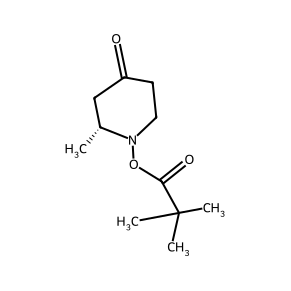 C[C@@H]1CC(=O)CCN1OC(=O)C(C)(C)C